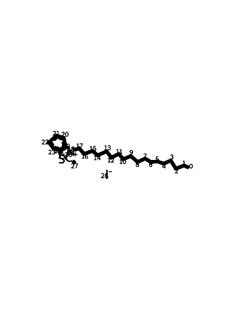 CCCCCCCCCCCCCCCCCCn1c2ccccc2s[c+]1C.[I-]